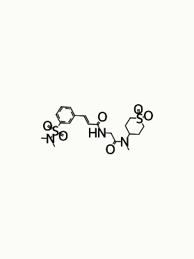 CN(C(=O)CNC(=O)/C=C/c1cccc(S(=O)(=O)N(C)C)c1)C1CCS(=O)(=O)CC1